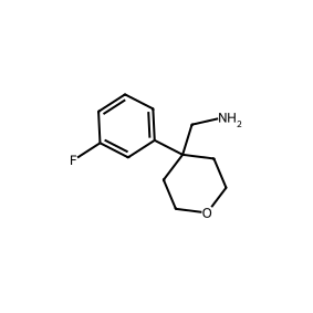 NCC1(c2cccc(F)c2)CCOCC1